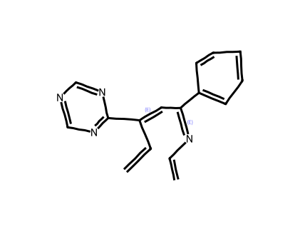 C=C/N=C(\C=C(/C=C)c1ncncn1)c1ccccc1